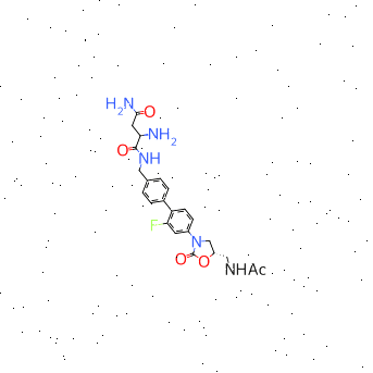 CC(=O)NC[C@H]1CN(c2ccc(-c3ccc(CNC(=O)[C@H](N)CC(N)=O)cc3)c(F)c2)C(=O)O1